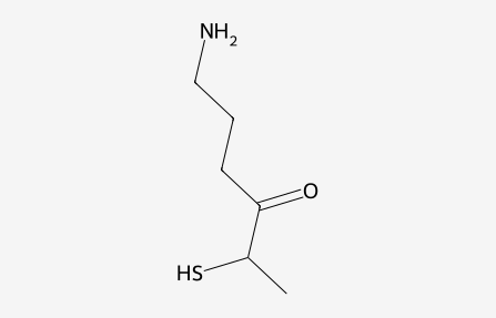 CC(S)C(=O)CCCN